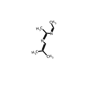 C/C=N\C(C)=N/C=C(C)C